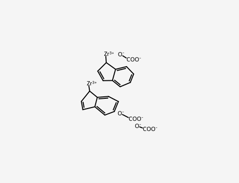 O=C([O-])[O-].O=C([O-])[O-].O=C([O-])[O-].[Zr+3][CH]1C=Cc2ccccc21.[Zr+3][CH]1C=Cc2ccccc21